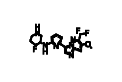 COc1cc2ncc(-c3cccc(N[C@H]4CNCC[C@@H]4F)n3)n2nc1C(F)F